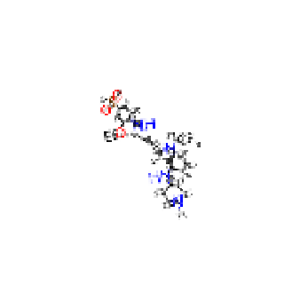 CCOc1cc(S(C)(=O)=O)ccc1NCC#Cc1cc2c(NC3CCN(C)CC3)cccc2n1CC(F)(F)F